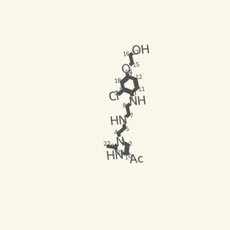 CC(=O)C1=CN(CCNCCNc2ccc(OCCO)cc2Cl)C(C)N1